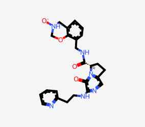 O=C(NCc1cccc2c1OC[NH+]([O-])C2)[C@@H]1CCc2cnc(NCCc3ccccn3)c(=O)n21